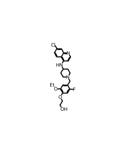 CCOc1cc(CN2CCC(Nc3ccnc4cc(Cl)ccc34)CC2)c(F)cc1OCCO